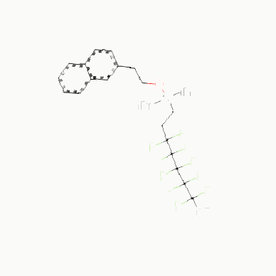 CC(C)[Si](CCC(F)(F)C(F)(F)C(F)(F)C(F)(F)C(F)(F)C(F)(F)F)(OCCc1ccc2ccccc2c1)C(C)C